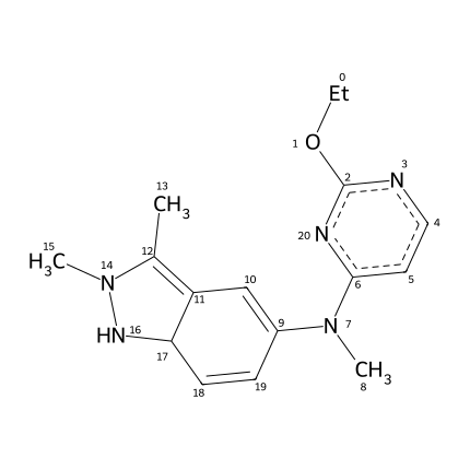 CCOc1nccc(N(C)C2=CC3=C(C)N(C)NC3C=C2)n1